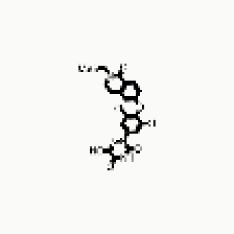 CSCN1CCc2cc(Oc3c(Cl)cc(-n4nc(C#N)c(=O)[nH]c4=O)cc3Cl)ccc2C1=O